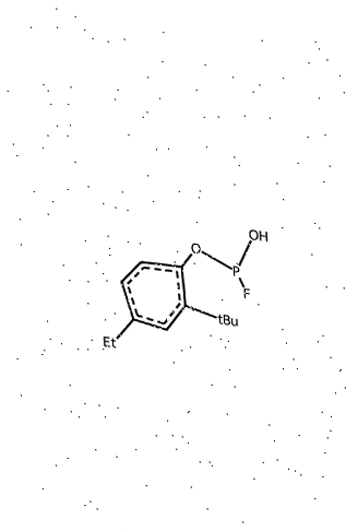 CCc1ccc(OP(O)F)c(C(C)(C)C)c1